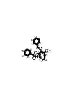 O=C(OC1C(OCc2ccccc2)C(O)C2CO[C@@H]1O2)c1ccccc1